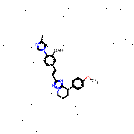 COc1cc(C=Cc2nc3n(n2)CCCC3c2ccc(OC(F)(F)F)cc2)ccc1-n1cnc(C)c1